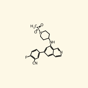 CS(=O)(=O)N1CCC(Nc2cc(-c3ccc(F)c(C#N)c3)cc3ccncc23)CC1